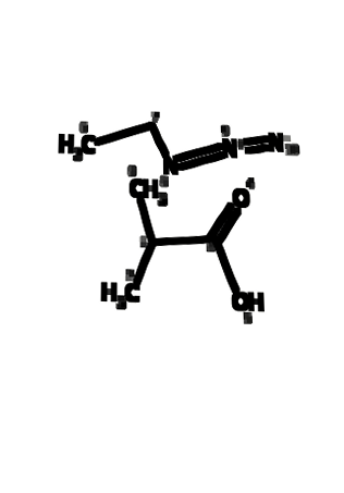 CC(C)C(=O)O.CCN=[N+]=[N-]